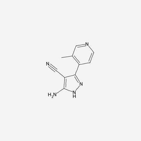 Cc1cnccc1-c1n[nH]c(N)c1C#N